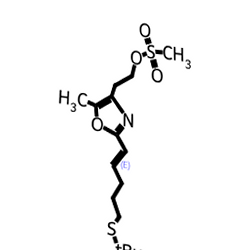 Cc1oc(/C=C/CCCSC(C)(C)C)nc1CCOS(C)(=O)=O